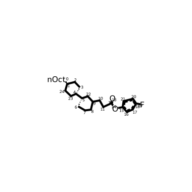 CCCCCCCC[C@H]1CC[C@H]([C@H]2CCCC(CCC(=O)Oc3ccc(F)cc3)C2)CC1